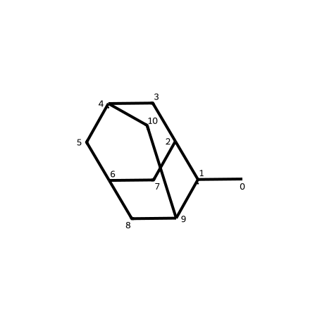 C[C]1C2C[C]3CC(C2)CC1C3